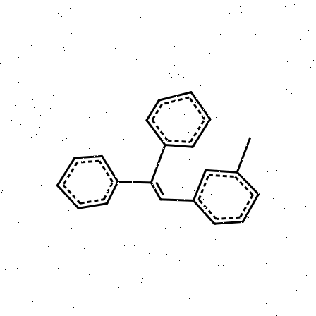 Cc1cccc(C=C(c2ccccc2)c2ccccc2)c1